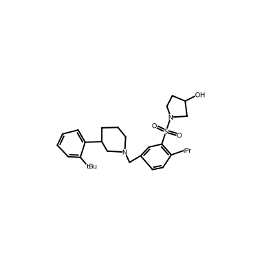 CC(C)c1ccc(CN2CCCC(c3ccccc3C(C)(C)C)C2)cc1S(=O)(=O)N1CCC(O)C1